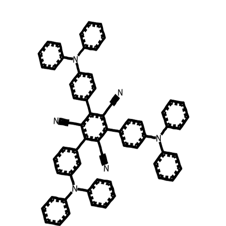 N#Cc1c(-c2ccc(N(c3ccccc3)c3ccccc3)cc2)c(C#N)c(-c2cccc(N(c3ccccc3)c3ccccc3)c2)c(C#N)c1-c1ccc(N(c2ccccc2)c2ccccc2)cc1